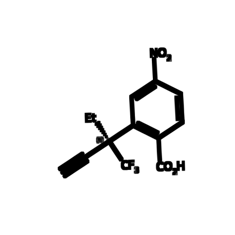 C#C[C@@](CC)(c1cc([N+](=O)[O-])ccc1C(=O)O)C(F)(F)F